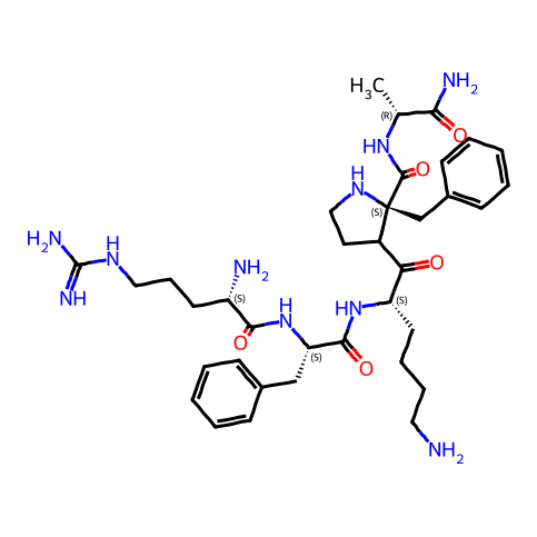 C[C@@H](NC(=O)[C@@]1(Cc2ccccc2)NCCC1C(=O)[C@H](CCCCN)NC(=O)[C@H](Cc1ccccc1)NC(=O)[C@@H](N)CCCNC(=N)N)C(N)=O